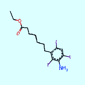 CCOC(=O)CCCCCCc1c(I)cc(I)c(N)c1I